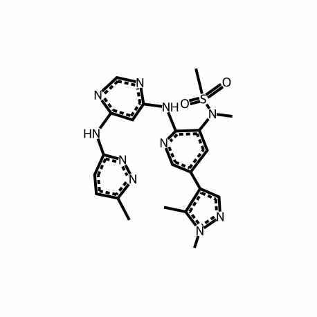 Cc1ccc(Nc2cc(Nc3ncc(-c4cnn(C)c4C)cc3N(C)S(C)(=O)=O)ncn2)nn1